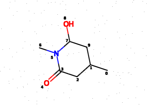 CC1CC(=O)N(C)C(O)C1